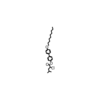 CCCCCCCCCCOc1ccc(-c2ccc(OC(=O)C(Cl)CC(C)C)cc2)cc1